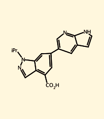 CC(C)n1ncc2c(C(=O)O)cc(-c3cnc4[nH]ccc4c3)cc21